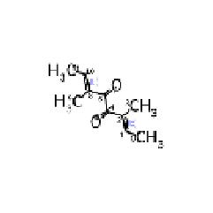 C/C=C(\C)C(=O)C(=O)/C(C)=C/C